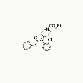 CCOC(=O)N1CCC(N(C(=O)Cc2ccccc2)c2ccccc2Cl)CC1